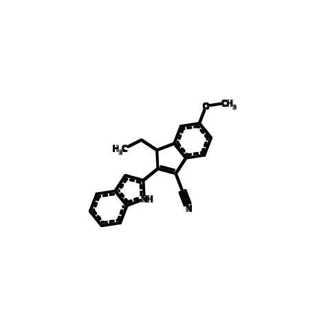 CCC1C(c2cc3ccccc3[nH]2)=C(C#N)c2ccc(OC)cc21